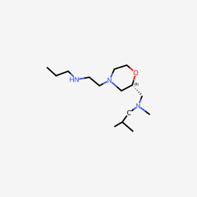 CCCNCCN1CCO[C@H](CN(C)CC(C)C)C1